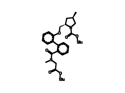 C[C@@H]1C[C@@H](COc2ccccc2-c2ccccc2C(=O)N(C)CC(=O)OC(C)(C)C)N(C(=O)OC(C)(C)C)C1